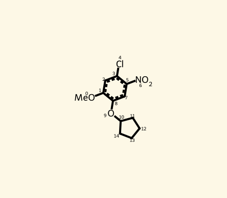 COc1cc(Cl)c([N+](=O)[O-])cc1OC1CCCC1